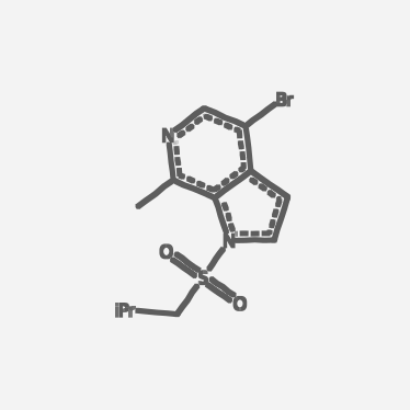 Cc1ncc(Br)c2ccn(S(=O)(=O)CC(C)C)c12